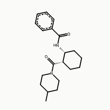 CC1CCN(C(=O)[C@H]2CCCC[C@H]2NC(=O)c2ccccc2)CC1